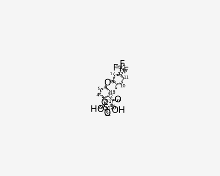 O=C(c1cccc(Oc2cccc(C(F)(F)F)c2)c1)C(O)S(=O)(=O)O